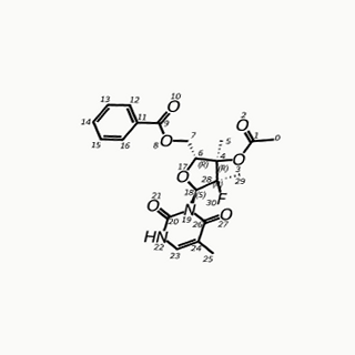 CC(=O)O[C@]1(C)[C@@H](COC(=O)c2ccccc2)O[C@H](n2c(=O)[nH]cc(C)c2=O)[C@]1(C)F